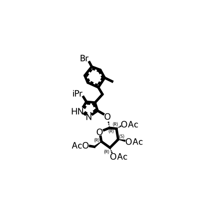 CC(=O)OC[C@H]1O[C@H](Oc2n[nH]c(C(C)C)c2Cc2ccc(Br)cc2C)[C@H](OC(C)=O)[C@@H](OC(C)=O)[C@@H]1OC(C)=O